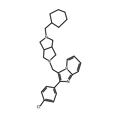 Clc1ccc(-c2nc3ccccn3c2CN2CC3CN(CC4CCCCC4)CC3C2)cc1